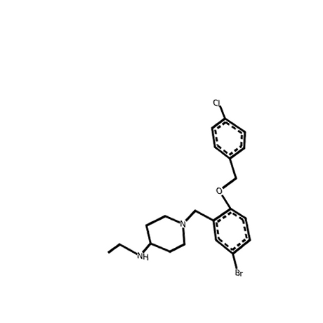 CCNC1CCN(Cc2cc(Br)ccc2OCc2ccc(Cl)cc2)CC1